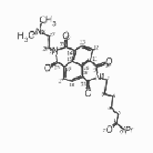 CC(C)C(=O)CCCCCN1C(=O)c2ccc3c4c(ccc(c24)C1=O)C(=O)N(CCN(C)C)C3=O